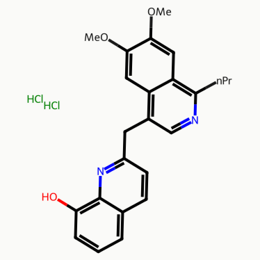 CCCc1ncc(Cc2ccc3cccc(O)c3n2)c2cc(OC)c(OC)cc12.Cl.Cl